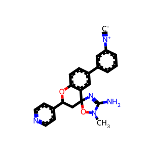 [C-]#[N+]c1cccc(-c2ccc3c(c2)C2(CC(c4ccncc4)O3)N=C(N)N(C)O2)c1